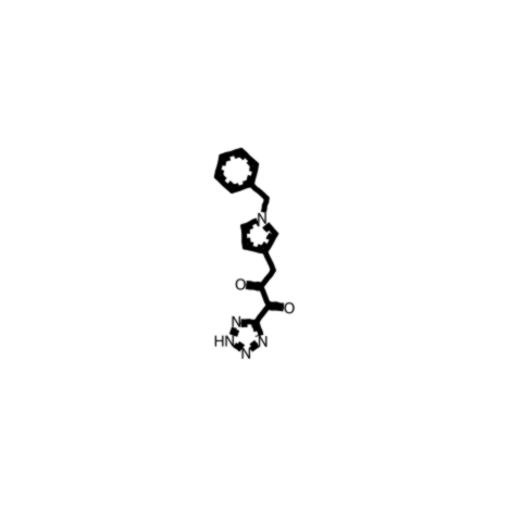 O=C(Cc1ccn(Cc2ccccc2)c1)C(=O)c1nn[nH]n1